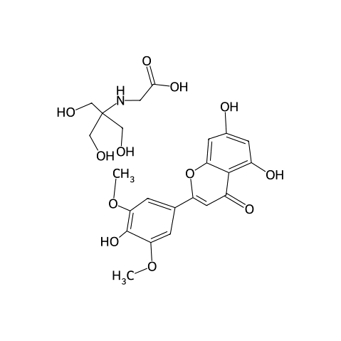 COc1cc(-c2cc(=O)c3c(O)cc(O)cc3o2)cc(OC)c1O.O=C(O)CNC(CO)(CO)CO